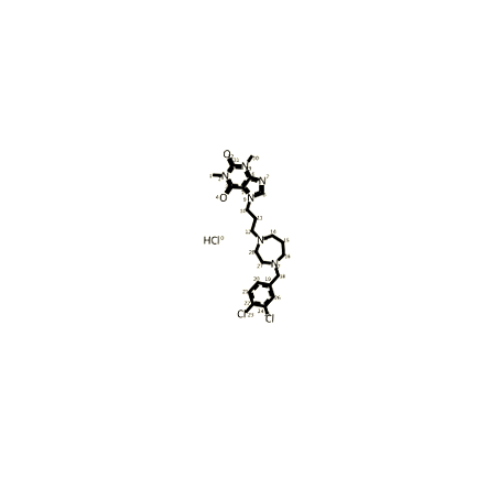 Cl.Cn1c(=O)c2c(ncn2CCCN2CCCN(Cc3ccc(Cl)c(Cl)c3)CC2)n(C)c1=O